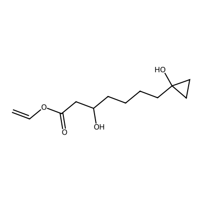 C=COC(=O)CC(O)CCCCC1(O)CC1